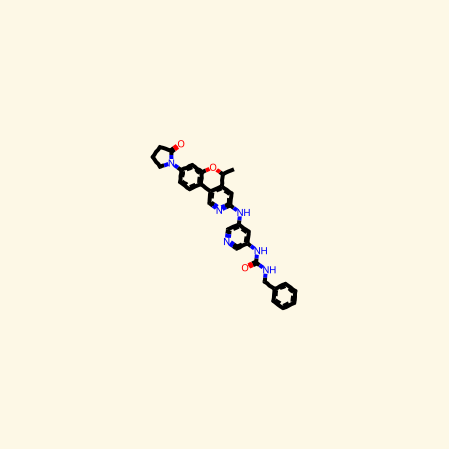 CC1Oc2cc(N3CCCC3=O)ccc2-c2cnc(Nc3cncc(NC(=O)NCc4ccccc4)c3)cc21